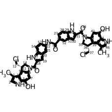 Cc1c[nH]c2c(O)cc3c(c12)[C@H](CCl)CN3C(=O)c1cc2cc(NC(=O)c3ccc4[nH]c(C(=O)N5C[C@@H](CCl)c6c5cc(O)c5[nH]cc(C)c65)cc4c3)ccc2[nH]1